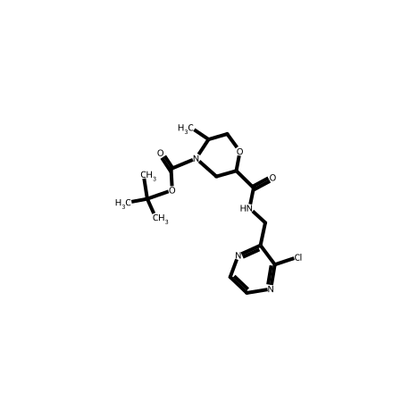 CC1COC(C(=O)NCc2nccnc2Cl)CN1C(=O)OC(C)(C)C